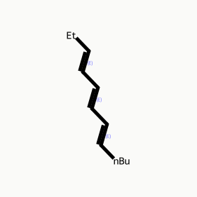 [CH2]C/C=C/C=C/C=C/CCCC